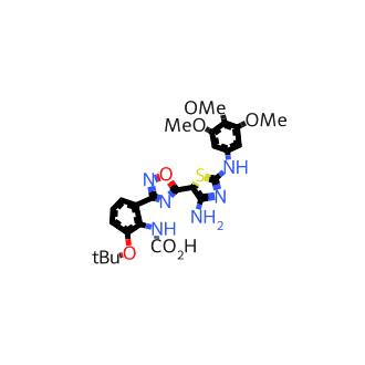 COc1cc(Nc2nc(N)c(-c3nc(-c4cccc(OC(C)(C)C)c4NC(=O)O)no3)s2)cc(OC)c1OC